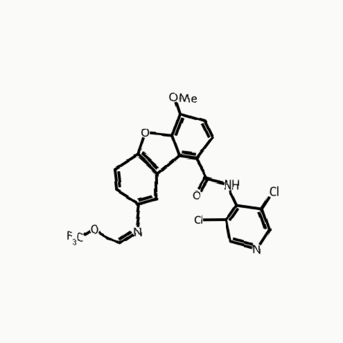 COc1ccc(C(=O)Nc2c(Cl)cncc2Cl)c2c1oc1ccc(/N=C\OC(F)(F)F)cc12